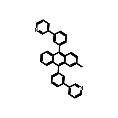 Cc1ccc2c(-c3cccc(-c4cccnc4)c3)c3ccccc3c(-c3cccc(-c4cccnc4)c3)c2c1